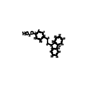 O=C(O)c1ccc(CCC2c3ccccc3-c3ccccc32)cc1